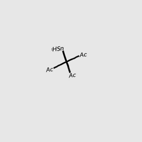 CC(=O)[C]([SnH])(C(C)=O)C(C)=O